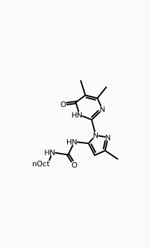 CCCCCCCCNC(=O)Nc1cc(C)nn1-c1nc(C)c(C)c(=O)[nH]1